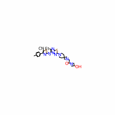 CCc1nc2sc(N3CCC4(CC3)CN(CC(=O)N3CC(O)C3)C4)nn2c1N(C)c1nc(-c2ccc(C)cc2)c(C#N)s1